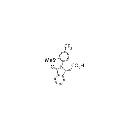 CSc1cc(C(F)(F)F)ccc1N1C(=O)c2ccccc2C1=CC(=O)O